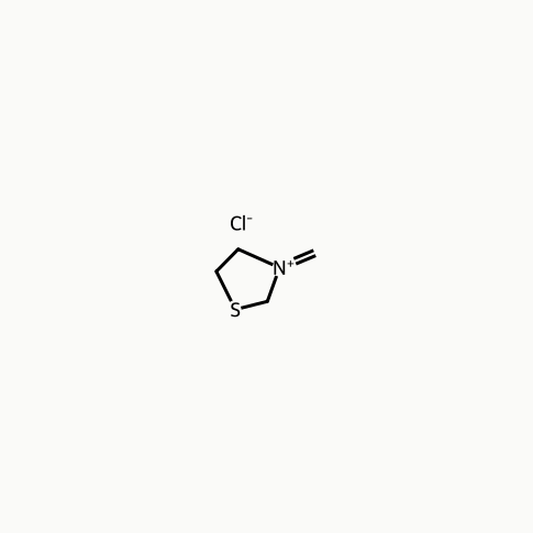 C=[N+]1CCSC1.[Cl-]